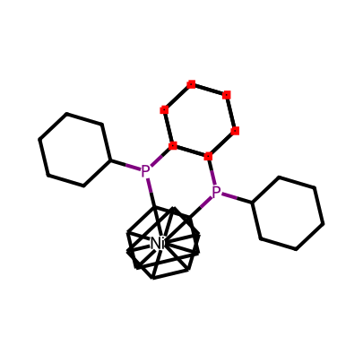 C1CCC(P(C2CCCCC2)[C]23[CH]4[CH]5[CH]6[C]2(P(C2CCCCC2)C2CCCCC2)[Ni]54632789[CH]3[CH]2[CH]7[CH]8[CH]39)CC1